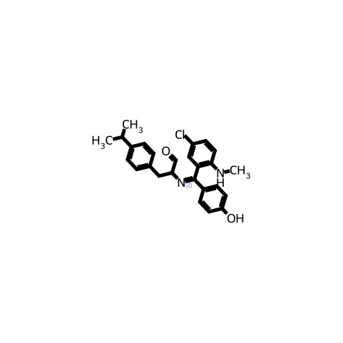 CNc1ccc(Cl)cc1/C(=N\C(C=O)Cc1ccc(C(C)C)cc1)c1ccc(O)cc1